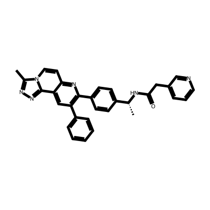 Cc1nnc2c3cc(-c4ccccc4)c(-c4ccc([C@@H](C)NC(=O)Cc5cccnc5)cc4)nc3ccn12